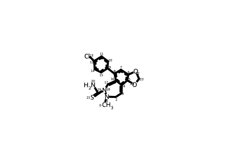 CN1CC=c2c3c(cc(-c4ccc(Cl)cc4)c2=CN1C(N)=S)OCO3